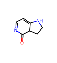 O=C1N=CC=C2NCCC12